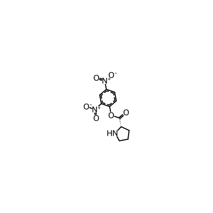 O=C(Oc1ccc([N+](=O)[O-])cc1[N+](=O)[O-])[C@@H]1CCCN1